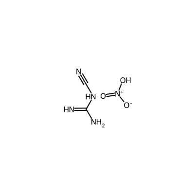 N#CNC(=N)N.O=[N+]([O-])O